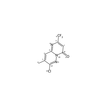 Cc1cc2nc(C(F)(F)F)cc(=O)n2nc1Cl